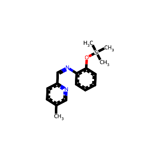 Cc1ccc(/C=N\c2ccccc2O[Si](C)(C)C)nc1